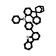 c1ccc(N(c2ccc(-c3cccc4c3sc3ccccc34)cc2)c2cccc3c2-c2ccccc2C32CC3CCC2C3)cc1